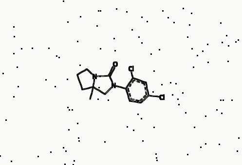 CC12CCCN1C(=O)N(c1ccc(Cl)cc1Cl)C2